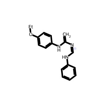 C=C(/N=C\Nc1ccccc1)Nc1ccc(OCC)cc1